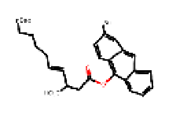 CCCCCCCCCCCCCCC=CC(CC(=O)Oc1c2ccccc2cc2cc(C(C)(C)C)ccc12)C(=O)O